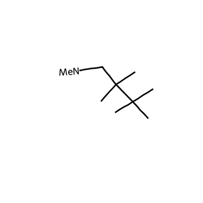 CNCC(C)(C)C(C)(C)C